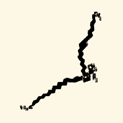 CCCCCCCCCCCCCCCCC1N(CCCCCCCCCCCCCCCC)C=CN1C(C)C